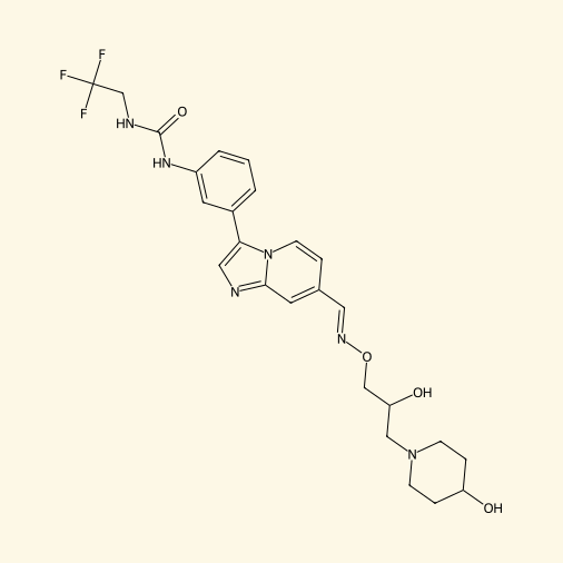 O=C(NCC(F)(F)F)Nc1cccc(-c2cnc3cc(C=NOCC(O)CN4CCC(O)CC4)ccn23)c1